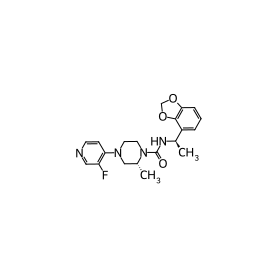 C[C@@H]1CN(c2ccncc2F)CCN1C(=O)N[C@H](C)c1cccc2c1OCO2